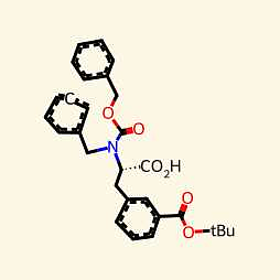 CC(C)(C)OC(=O)c1cccc(C[C@@H](C(=O)O)N(Cc2ccccc2)C(=O)OCc2ccccc2)c1